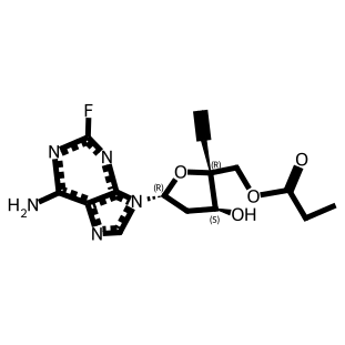 C#C[C@]1(COC(=O)CC)O[C@@H](n2cnc3c(N)nc(F)nc32)C[C@@H]1O